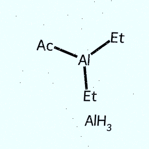 C[CH2][Al]([CH2]C)[C](C)=O.[AlH3]